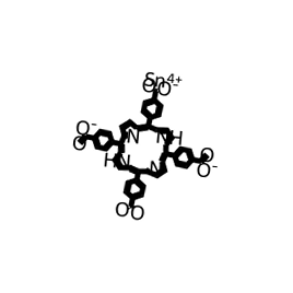 O=C([O-])c1ccc(-c2c3nc(c(-c4ccc(C(=O)[O-])cc4)c4ccc([nH]4)c(-c4ccc(C(=O)[O-])cc4)c4nc(c(-c5ccc(C(=O)[O-])cc5)c5ccc2[nH]5)C=C4)C=C3)cc1.[Sn+4]